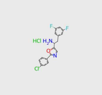 Cl.NC(Cc1cc(F)cc(F)c1)c1cnc(-c2ccc(Cl)cc2)o1